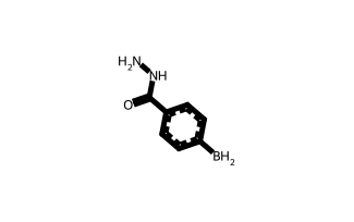 Bc1ccc(C(=O)NN)cc1